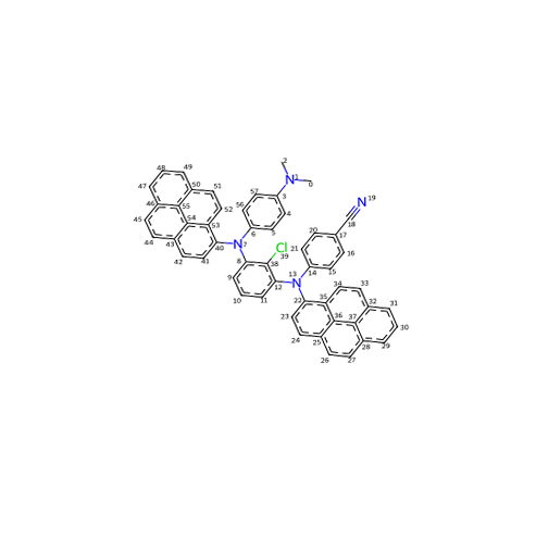 CN(C)c1ccc(N(c2cccc(N(c3ccc(C#N)cc3)c3ccc4ccc5cccc6ccc3c4c56)c2Cl)c2ccc3ccc4cccc5ccc2c3c45)cc1